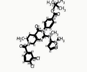 C[C@@H]1Cc2c(nc(N(C)c3ccnn3C)n(-c3ccc(C(=O)OC(C)(C)C)cc3)c2=O)CN1C(=O)c1ccc(Cl)c(Cl)c1